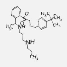 CCCNCCCNC(C)c1ccccc1S(=O)(=O)CCCc1ccc(C(C)(C)C)cc1